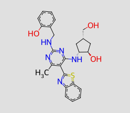 Cc1nc(NCc2ccccc2O)nc(N[C@@H]2C[C@H](CO)C[C@H]2O)c1-c1nc2ccccc2s1